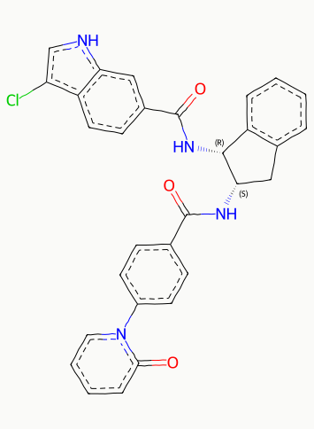 O=C(N[C@H]1Cc2ccccc2[C@H]1NC(=O)c1ccc2c(Cl)c[nH]c2c1)c1ccc(-n2ccccc2=O)cc1